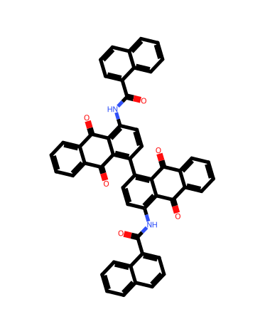 O=C1c2ccccc2C(=O)c2c(-c3ccc(NC(=O)c4cccc5ccccc45)c4c3C(=O)c3ccccc3C4=O)ccc(NC(=O)c3cccc4ccccc34)c21